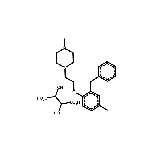 Cc1ccc(OCCN2CCN(C)CC2)c(Cc2ccccc2)c1.O=C(O)C(O)C(O)C(=O)O